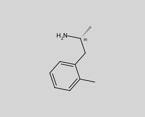 Cc1ccccc1C[C@@H](C)N